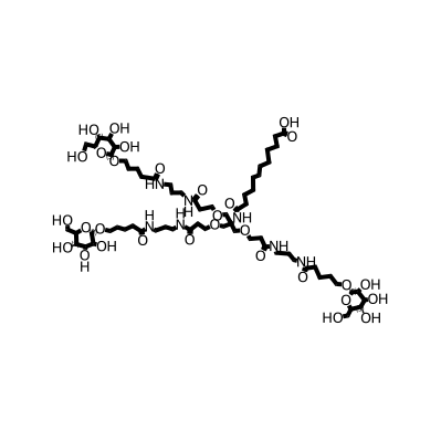 O=C(O)CCCCCCCCCCC(=O)NC(COCCC(=O)NCCCNC(=O)CCCCO[C@H]1OC(CO)[C@@H](O)C(O)C1O)(COCCC(=O)NCCCNC(=O)CCCCO[C@H]1OC(CO)[C@@H](O)C(O)C1O)COCCC(=O)NCCCNC(=O)CCCCO[C@H]1OC(CO)[C@@H](O)C(O)C1O